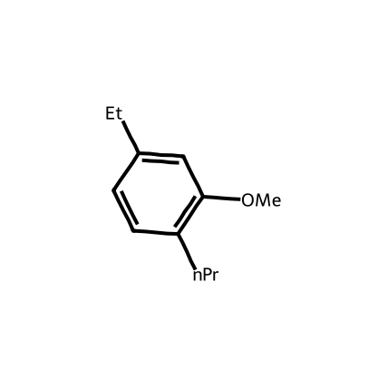 CCCc1ccc(CC)cc1OC